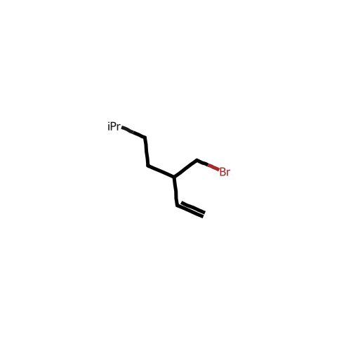 C=CC(CBr)CCC(C)C